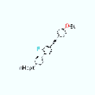 CCCCCCCc1ccc(-c2ccc(C#Cc3ccc(OCC)cc3)cc2F)cc1